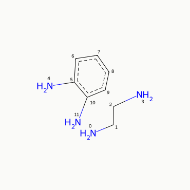 NCCN.Nc1ccccc1N